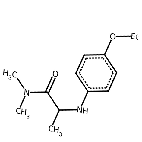 CCOc1ccc(NC(C)C(=O)N(C)C)cc1